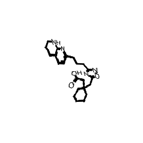 O=C(O)CC1(Cc2nc(CCCc3ccc4c(n3)NCCC4)no2)CCCCC1